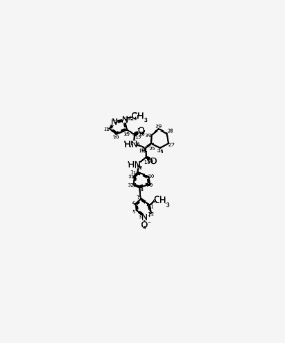 Cc1c[n+]([O-])ccc1-c1ccc(NC(=O)[C@@H](NC(=O)c2ccnn2C)C2CCCCC2)cc1